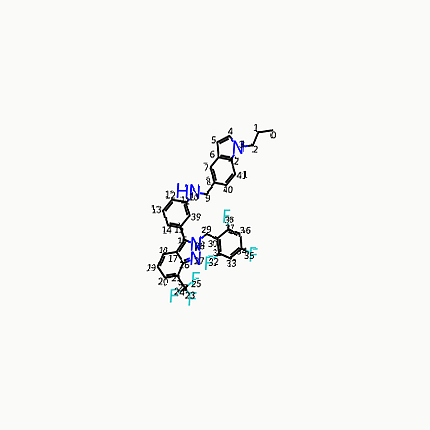 CCCn1ccc2cc(CNc3cccc(-c4c5cccc(C(F)(F)F)c5nn4Cc4c(F)cc(F)cc4F)c3)ccc21